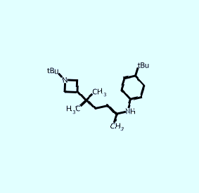 CC(CCC(C)(C)C1CN(C(C)(C)C)C1)NC1CCC(C(C)(C)C)CC1